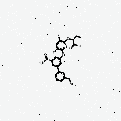 CCC(Oc1nc(Oc2cc(C(N)=O)cc(-c3cccc(CN)c3)c2)c(F)cc1F)C(=O)O